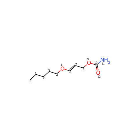 CCCCCOC=CCOC(N)=O